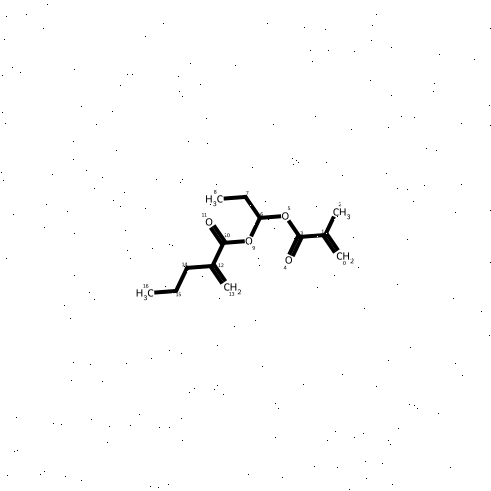 C=C(C)C(=O)OC(CC)OC(=O)C(=C)CCC